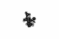 CCCC(C(=O)NC1C(=O)N2C(C(=O)OCc3cc(OC)cc(OC)c3)=C(COC(C)=O)C(CC(C(=O)OCC(Cl)(Cl)Cl)C(=O)c3ccccc3)S[C@@H]12)c1ccccc1